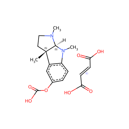 CN1CC[C@@]2(C)c3cc(OC(=O)O)ccc3N(C)[C@H]12.O=C(O)/C=C/C(=O)O